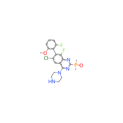 COc1cccc(F)c1-c1c(Cl)cc2c(N3CCNCC3)nc(P(C)(C)=O)nc2c1F